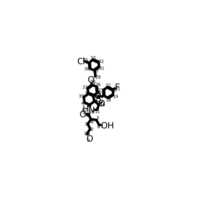 O=CCCC(CCO)C(=O)N1CC[C@@]2(S(=O)(=O)c3ccc(F)cc3)c3ccc(OCc4cccc(Cl)c4)cc3CC[C@@H]12